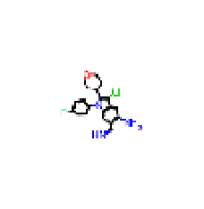 N=Cc1cc2c(cc1N)c(Cl)c(C1CCOCC1)n2-c1ccc(F)cc1